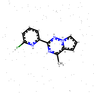 Cc1nc(-c2cccc(F)n2)nn2cccc12